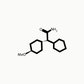 CO[C@H]1CC[C@H](C(C(N)=O)C2CCCCC2)CC1